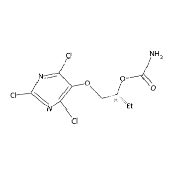 CC[C@H](COc1c(Cl)nc(Cl)nc1Cl)OC(N)=O